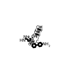 CSc1sc(C(=N)N)cc1S(=O)(=O)c1cccc(-c2ccc(N)cc2C)c1.O=C(O)C(F)(F)F.O=C(O)C(F)(F)F